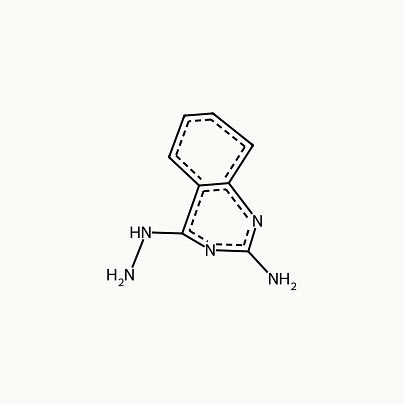 NNc1nc(N)nc2ccccc12